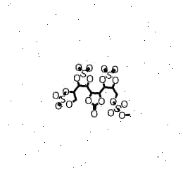 COS(=O)(=O)OCC1OS(=O)(=O)OC1C1OC(=O)OC1C1OS(=O)(=O)OC1C1COS(=O)(=O)O1